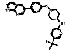 FC(F)(F)c1ccc(NC2CCN(Sc3ccc(-c4cnc5[nH]ccc5c4)cc3)CC2)nc1